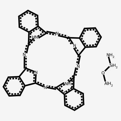 N[SiH2][O][AlH2].c1ccc2c(c1)-c1nc-2nc2[nH]c(nc3nc(nc4[nH]c(n1)c1ccccc41)-c1ccccc1-3)c1ccccc21